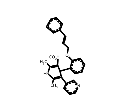 CC1=C(C(=O)O)C(c2ccccc2OCC=Cc2ccccc2)C(c2cccnc2)=C(C)N1